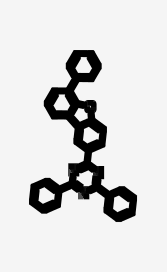 c1ccc(-c2nc(-c3ccccc3)nc(-c3ccc4oc5c(-c6ccccc6)cccc5c4c3)n2)cc1